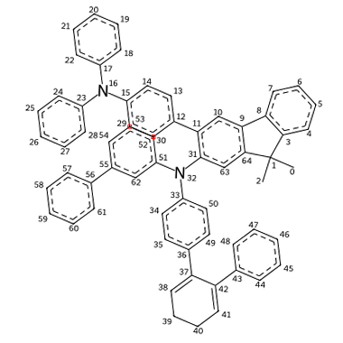 CC1(C)c2ccccc2-c2cc(-c3ccc(N(c4ccccc4)c4ccccc4)cc3)c(N(c3ccc(C4=CCCC=C4c4ccccc4)cc3)c3cccc(-c4ccccc4)c3)cc21